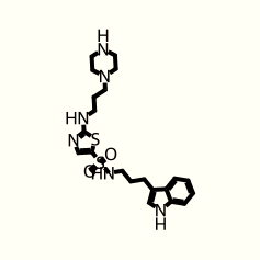 O=S(=O)(NCCCc1c[nH]c2ccccc12)c1cnc(NCCCN2CCNCC2)s1